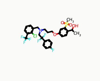 CC(O)c1ccc(OCCCN(Cc2cccc(C(F)(F)F)c2Cl)CC(F)(F)c2ccc(F)cc2)cc1S(C)(=O)=O